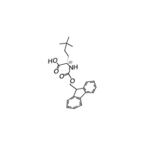 CC(C)(C)CC[C@H](NC(=O)OCC1c2ccccc2-c2ccccc21)C(=O)O